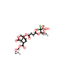 COCOC(=O)C1C2CC3C(OC(=O)C31)C2OC(=O)CCC(=O)OC(C)C(F)(F)S(=O)(=O)O